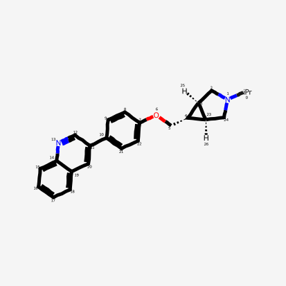 CC(C)N1C[C@@H]2[C@@H](COc3ccc(-c4cnc5ccccc5c4)cc3)[C@@H]2C1